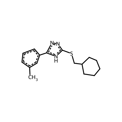 Cc1cccc(-c2nnc(SCC3CCCCC3)[nH]2)c1